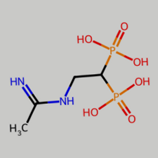 CC(=N)NCC(P(=O)(O)O)P(=O)(O)O